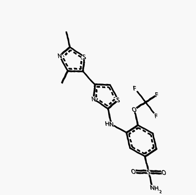 Cc1nc(C)c(-c2csc(Nc3cc(S(N)(=O)=O)ccc3OC(F)(F)F)n2)s1